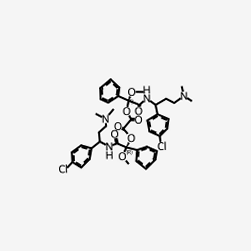 CO[C@](OC(=O)C(=O)O[C@@](OC)(C(=O)NC(CCN(C)C)c1ccc(Cl)cc1)c1ccccc1)(C(=O)NC(CCN(C)C)c1ccc(Cl)cc1)c1ccccc1